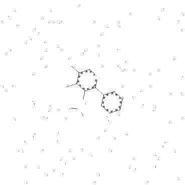 CCOCC.Clc1cnc(-c2ccccc2)c(Cl)c1Cl